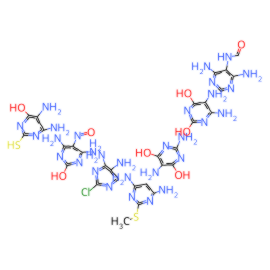 CSc1nc(N)cc(N)n1.Nc1cnc(Cl)nc1N.Nc1nc(O)c(N)c(O)n1.Nc1nc(O)nc(N)c1N=O.Nc1nc(O)nc(O)c1N.Nc1nc(S)nc(O)c1N.Nc1ncnc(N)c1NC=O